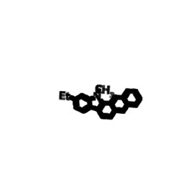 CCc1ccc2c3ccc4cc5ccccc5cc4c3n(C)c2c1